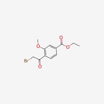 CCOC(=O)c1ccc(C(=O)CBr)c(OC)c1